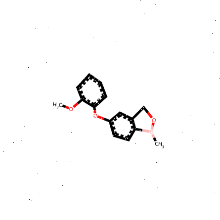 COc1ccccc1Oc1ccc2c(c1)COB2C